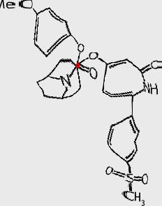 COc1ccc(OC(=O)N2C3CCC2CC(Oc2cc(-c4ccc(S(C)(=O)=O)cc4)[nH]c(=O)c2)C3)cc1